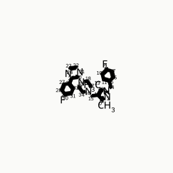 Cc1nn(Cc2ccc(F)cc2)c(C)c1CN1CCN(c2nccnc2-c2ccc(F)cc2)CC1